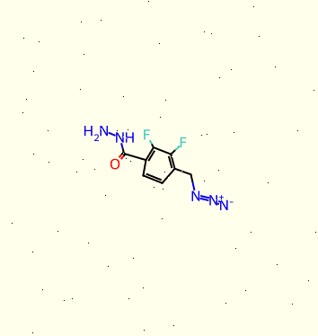 [N-]=[N+]=NCc1ccc(C(=O)NN)c(F)c1F